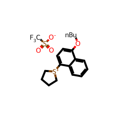 CCCCOc1ccc([S+]2CCCC2)c2ccccc12.O=S(=O)([O-])C(F)(F)F